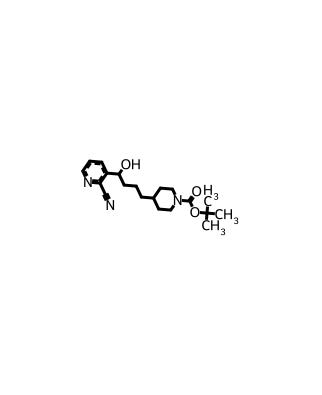 CC(C)(C)OC(=O)N1CCC(CCCC(O)c2cccnc2C#N)CC1